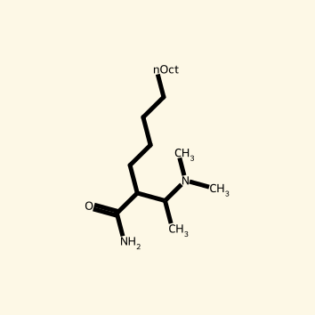 CCCCCCCCCCCCC(C(N)=O)C(C)N(C)C